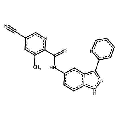 Cc1cc(C#N)cnc1C(=O)Nc1ccc2[nH]nc(-c3ccccn3)c2c1